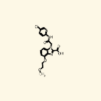 COCCOc1cccc2c1nc(C(=O)O)n2CC(=O)Nc1ccc(Cl)cn1